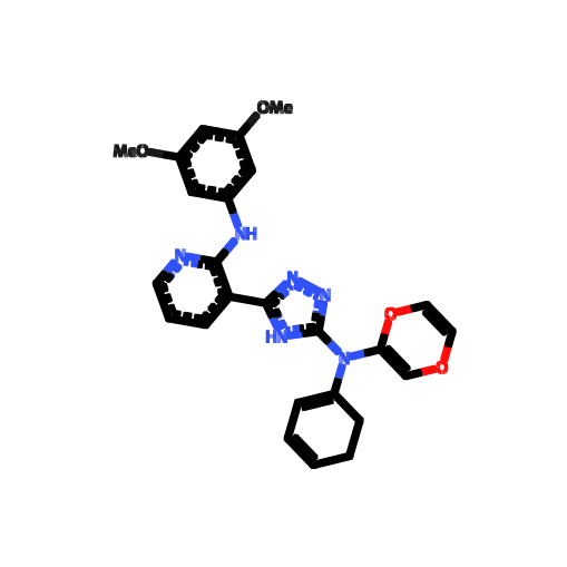 COc1cc(Nc2ncccc2-c2nnc(N(C3=CC=CCC3)C3=COC=CO3)[nH]2)cc(OC)c1